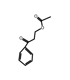 CC(=O)OCCC(=O)c1ccccc1